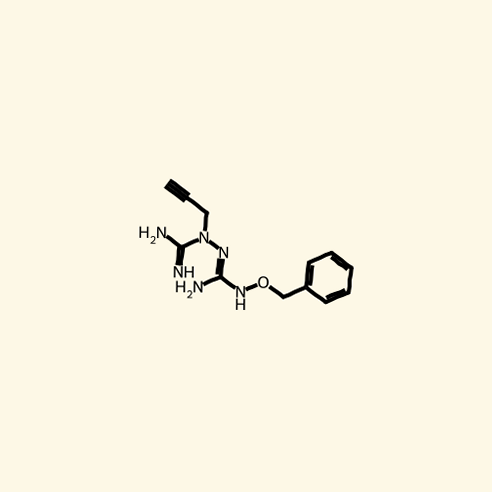 C#CCN(N=C(N)NOCc1ccccc1)C(=N)N